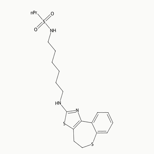 CCCS(=O)(=O)NCCCCCCNc1nc2c(s1)CCSc1ccccc1-2